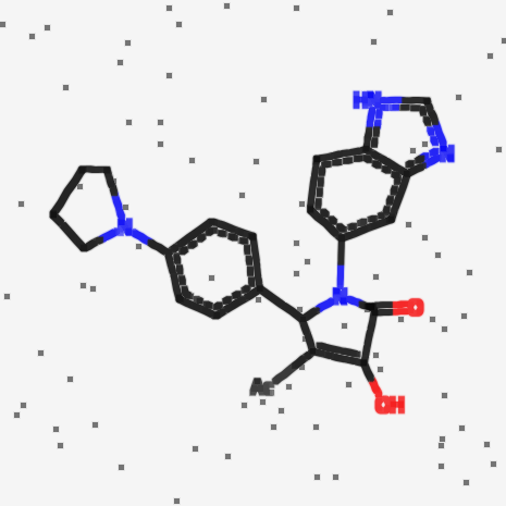 CC(=O)C1=C(O)C(=O)N(c2ccc3[nH]cnc3c2)C1c1ccc(N2CCCC2)cc1